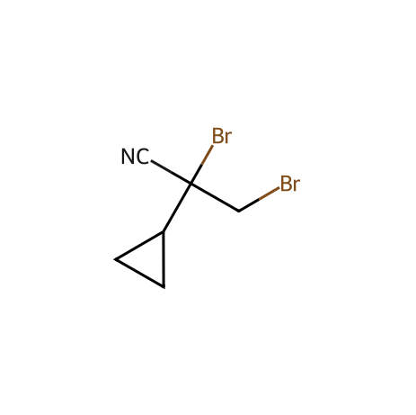 N#CC(Br)(CBr)C1CC1